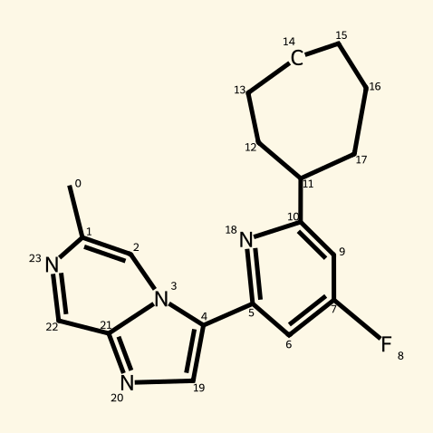 Cc1cn2c(-c3cc(F)cc(C4CCCCCC4)n3)cnc2cn1